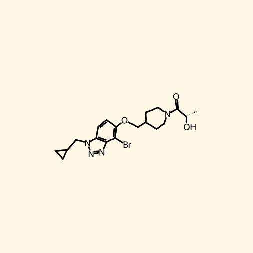 C[C@H](O)C(=O)N1CCC(COc2ccc3c(nnn3CC3CC3)c2Br)CC1